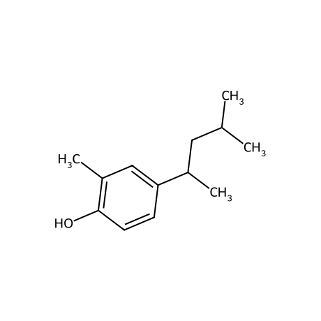 Cc1cc(C(C)CC(C)C)ccc1O